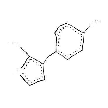 O=Cc1sccc1-c1ccc(O)cc1